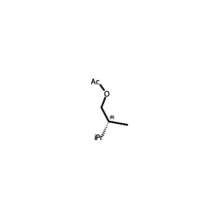 CC(=O)OC[C@H](C)C(C)C